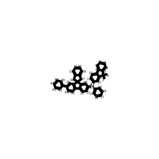 CC1(C)c2ccccc2-c2ccc(N(c3ccccc3)c3ccc4c(c3)C3(Cc5ccccc5C3)c3cc(-c5ccccc5)ccc3-4)cc21